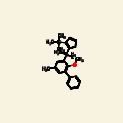 COc1c(-c2ccccc2)cc(C)cc1[Si](C)(C)C1=C([Si](C)(C)C)C=CC1